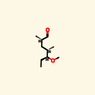 CC[C@H](OC)[C@@H](C)C[C@H](C)C=O